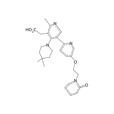 Cc1ncc(-c2ccc(OCCn3ccccc3=O)cn2)c(N2CCC(C)(C)CC2)c1CC(=O)O